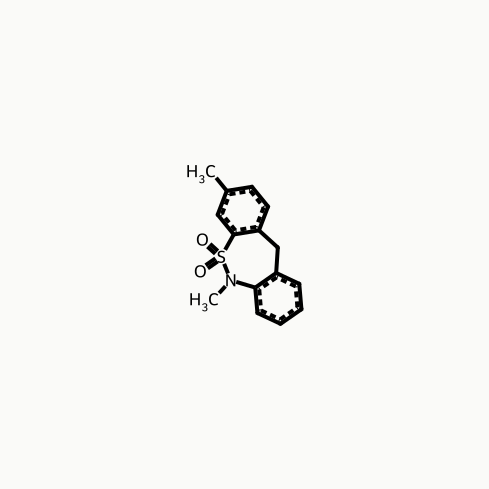 Cc1ccc2c(c1)S(=O)(=O)N(C)c1ccccc1C2